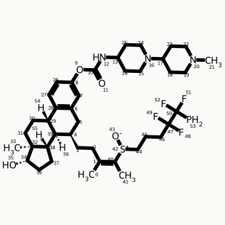 C/C(CC[C@@H]1Cc2cc(OC(=O)NC3CCN(C4CCN(C)CC4)CC3)ccc2[C@H]2CC[C@]3(C)[C@@H](O)CC[C@H]3[C@H]12)=C(\C)[S+]([O-])CCCC(F)(F)C(F)(F)P